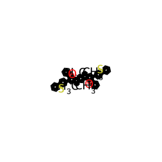 CC1(C)c2cc3c(cc2-c2c1cc(-c1ccc4c(c1)sc1ccccc14)c1c2oc2ccccc21)C(C)(C)c1cc(-c2ccc4c(c2)sc2ccccc24)c2c(oc4ccccc42)c1-3